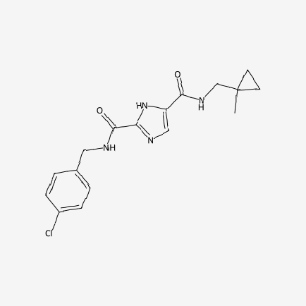 CC1(CNC(=O)c2cnc(C(=O)NCc3ccc(Cl)cc3)[nH]2)CC1